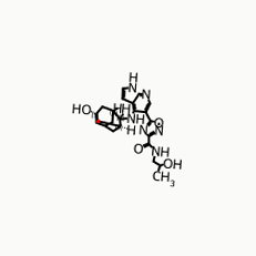 CC(O)CNC(=O)c1noc(-c2cnc3[nH]ccc3c2N[C@H]2[C@@H]3CC4C[C@H]2C[C@@](O)(C4)C3)n1